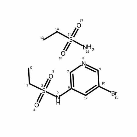 CCS(=O)(=O)Nc1cncc(Br)c1.CCS(N)(=O)=O